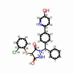 O=C1NN(C(c2ccccc2)c2ccc(-c3ccc(O)cn3)cc2)C(=O)C1Sc1ccccc1Cl